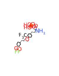 NC(CO)(CCc1ccc(OCCCc2ccc3c(c2)OC(F)(F)O3)c(C(F)(F)F)c1)COP(=O)(O)O